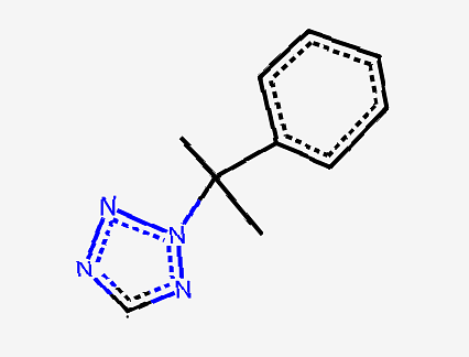 CC(C)(c1ccccc1)n1n[c]nn1